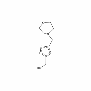 OCc1cc(CN2CCOCC2)co1